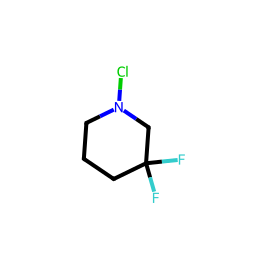 FC1(F)CCCN(Cl)C1